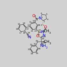 COC[C@H]1CCCN1C(=O)c1cc(C2=CC=CCC2C#N)cc(-c2nnc([C@](C)(N)Cc3ccccc3)o2)c1